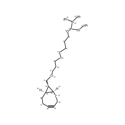 CCCOP(OCCCSSCCCOC[C@@H]1[C@@H]2CCC#CCC[C@@H]21)N(C(C)C)C(C)C